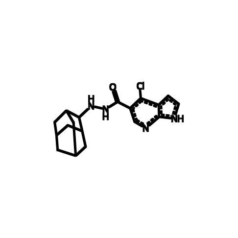 O=C(NNC1C2CC3CC(C2)CC1C3)c1cnc2[nH]ccc2c1Cl